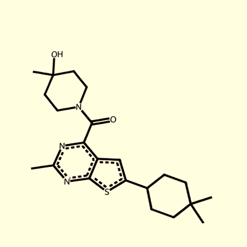 Cc1nc(C(=O)N2CCC(C)(O)CC2)c2cc(C3CCC(C)(C)CC3)sc2n1